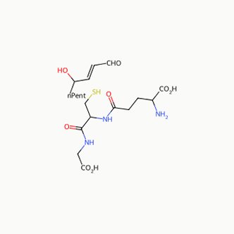 CCCCCC(O)C=CC=O.NC(CCC(=O)NC(CS)C(=O)NCC(=O)O)C(=O)O